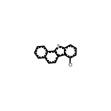 Clc1cccc2sc3c4ccccc4ccc3c12